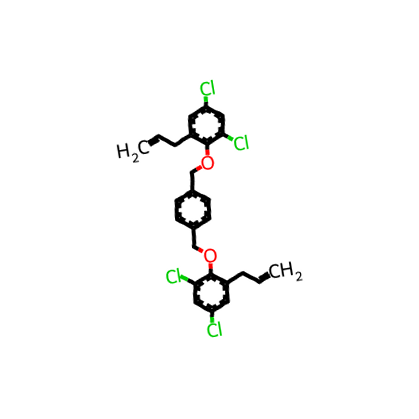 C=CCc1cc(Cl)cc(Cl)c1OCc1ccc(COc2c(Cl)cc(Cl)cc2CC=C)cc1